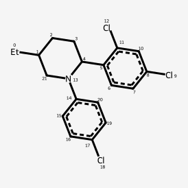 CCC1CCC(c2ccc(Cl)cc2Cl)N(c2ccc(Cl)cc2)C1